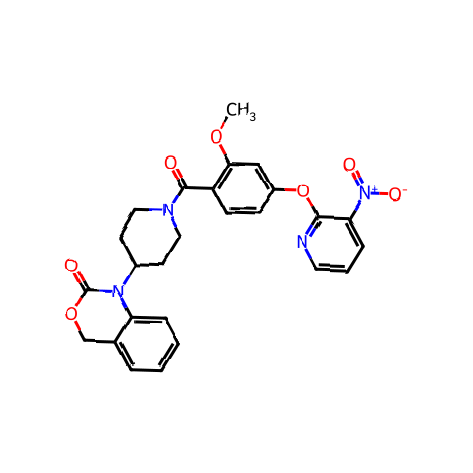 COc1cc(Oc2ncccc2[N+](=O)[O-])ccc1C(=O)N1CCC(N2C(=O)OCc3ccccc32)CC1